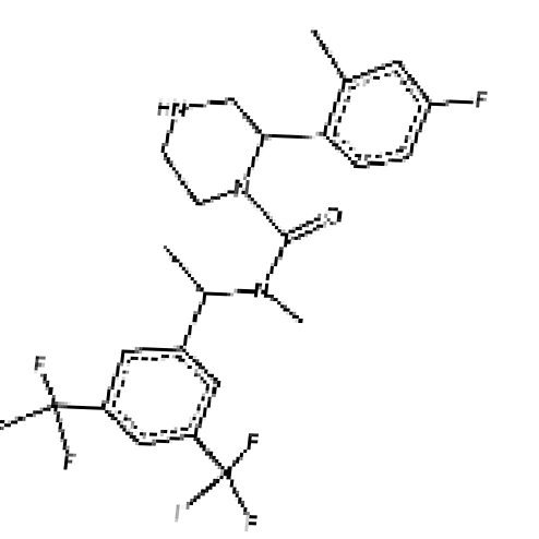 Cc1cc(F)ccc1C1CNCCN1C(=O)N(C)C(C)c1cc(C(F)(F)F)cc(C(F)(F)F)c1